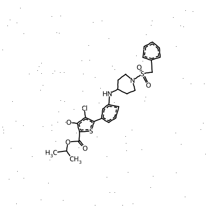 CC(C)OC(=O)c1sc(-c2cccc(NC3CCN(S(=O)(=O)Cc4ccccc4)CC3)c2)c(Cl)c1[O]